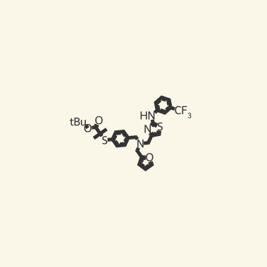 CC(C)(C)OC(=O)C(C)(C)Sc1ccc(CN(Cc2csc(Nc3cccc(C(F)(F)F)c3)n2)Cc2ccco2)cc1